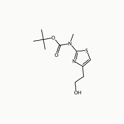 CN(C(=O)OC(C)(C)C)c1nc(CCO)cs1